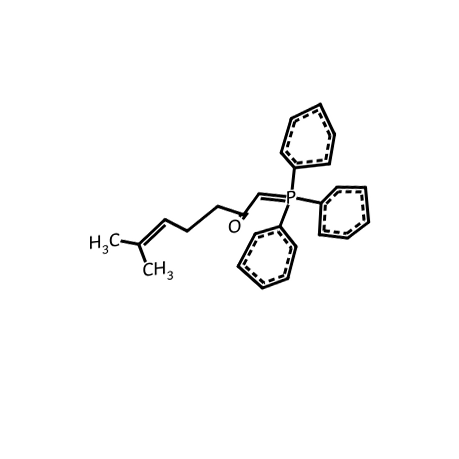 CC(C)=CCCC(=O)C=P(c1ccccc1)(c1ccccc1)c1ccccc1